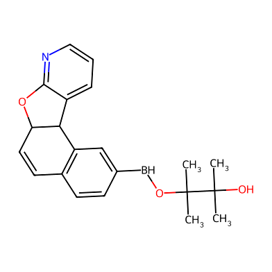 CC(C)(O)C(C)(C)OBc1ccc2c(c1)C1c3cccnc3OC1C=C2